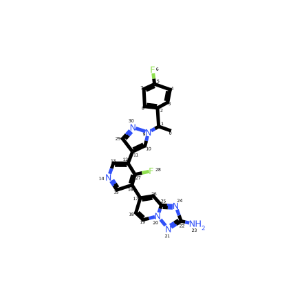 CC(c1ccc(F)cc1)n1cc(-c2cncc(-c3ccn4nc(N)nc4c3)c2F)cn1